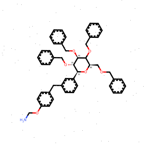 NCOc1ccc(Cc2cccc([C@@H]3O[C@H](COCc4ccccc4)C(OCc4ccccc4)[C@H](OCc4ccccc4)[C@H]3OCc3ccccc3)c2)cc1